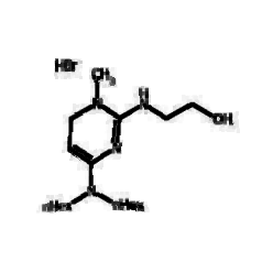 Br.CCCCCCN(CCCCCC)C1=CCN(C)C(NCCO)=N1